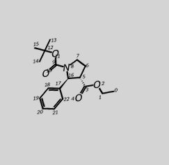 CCOC(=O)[C@H]1CCN(C(=O)OC(C)(C)C)[C@@H]1c1ccccc1